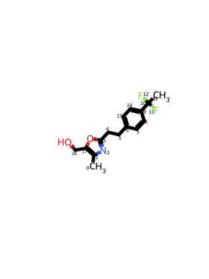 Cc1nc(CCc2ccc(C(C)(F)F)cc2)oc1CO